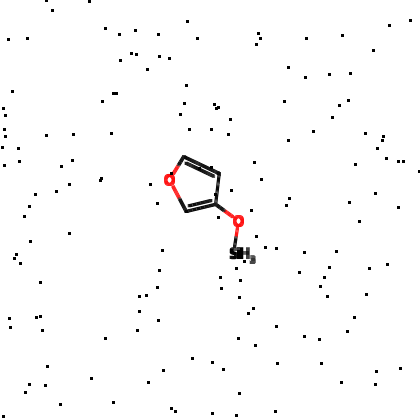 [SiH3]Oc1ccoc1